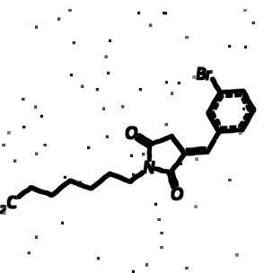 O=C(O)CCCCCCN1C(=O)C/C(=C\c2cccc(Br)c2)C1=O